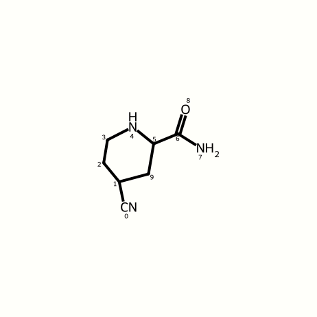 N#CC1CCNC(C(N)=O)C1